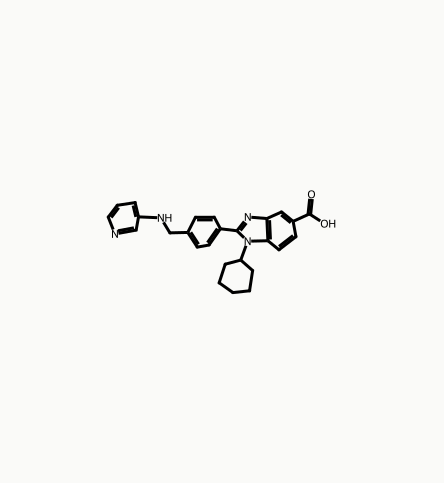 O=C(O)c1ccc2c(c1)nc(-c1ccc(CNc3cccnc3)cc1)n2C1CCCCC1